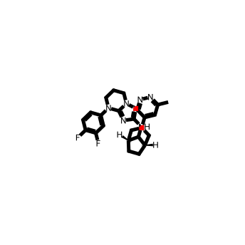 Cc1cc(N2C[C@H]3CC[C@@H](C2)C3Nc2nc3n(n2)CCCN3c2ccc(F)c(F)c2)cnn1